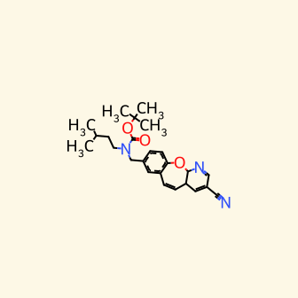 CC(C)CCN(Cc1ccc2c(c1)C=CC1C=C(C#N)C=NC1O2)C(=O)OC(C)(C)C